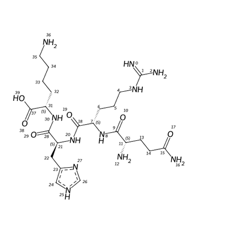 N=C(N)NCCC[C@H](NC(=O)[C@@H](N)CCC(N)=O)C(=O)N[C@@H](Cc1c[nH]cn1)C(=O)N[C@@H](CCCCN)C(=O)O